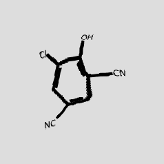 N#Cc1cc(Cl)c(O)c(C#N)c1